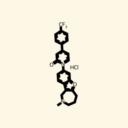 CN1CCCc2oc3cc(-n4ccc(-c5ccc(C(F)(F)F)cc5)cc4=O)ccc3c2C1.Cl